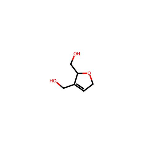 OCC1=CCOC1CO